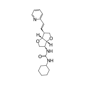 O=C(NC1CCCCC1)N[C@H]1CO[C@H]2[C@@H]1OC[C@@H]2C=Cc1ccccn1